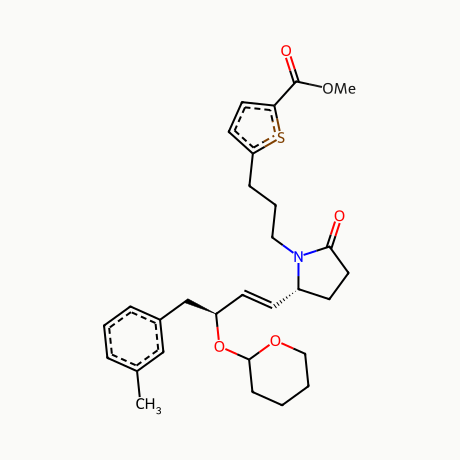 COC(=O)c1ccc(CCCN2C(=O)CC[C@@H]2/C=C/[C@H](Cc2cccc(C)c2)OC2CCCCO2)s1